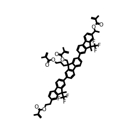 C=C(C)C(=O)OCCCC1(COC(=O)C(=C)C)c2cc(-c3ccc4c(c3)C(C)(C(F)(F)F)c3cc(CCOC(=O)C(=C)C)ccc3-4)ccc2-c2ccc(-c3ccc4c(c3)C(C)(C(F)(F)F)c3cc(C(C)OC(=O)C(=C)C)ccc3-4)cc21